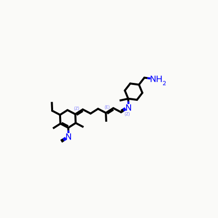 C=NC1=C(C)C(CC)C/C(=C/CC/C(C)=C/C=N\C2(C)CCC(CN)CC2)C1C